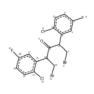 O=C(C(CBr)c1cc(F)ccc1Cl)C(CBr)c1cc(F)ccc1Cl